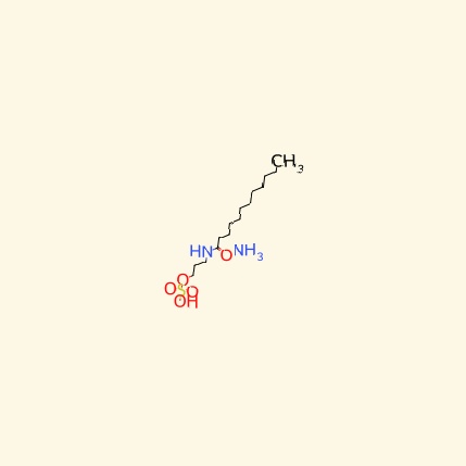 CCCCCCCCCCCC(=O)NCCCOS(=O)(=O)O.N